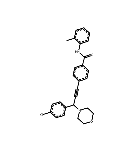 Cc1ccccc1NC(=O)c1ccc(C#CC(c2ccc(Cl)cc2)N2CCOCC2)cc1